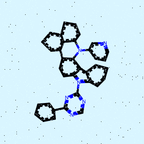 c1ccc(-c2ncnc(-n3c4ccccc4c4c5c(ccc43)-c3cccc4cccc(c34)N5c3cccnc3)n2)cc1